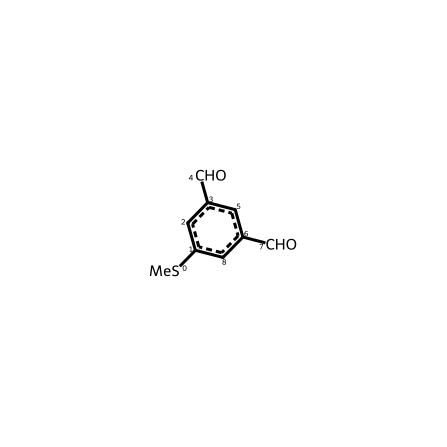 CSc1cc(C=O)cc(C=O)c1